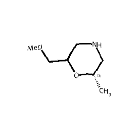 COCC1CNC[C@H](C)O1